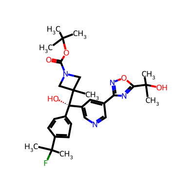 CC(C)(C)OC(=O)N1CC(C)([C@](O)(c2ccc(C(C)(C)F)cc2)c2cncc(-c3noc(C(C)(C)O)n3)c2)C1